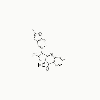 Cc1ccc2c(c1)N=C1N(c3ccc4oc(C)cc4c3)[C@@H](F)CC1(O)C2=O